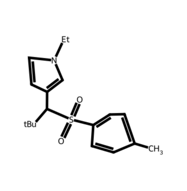 CCn1ccc(C(C(C)(C)C)S(=O)(=O)c2ccc(C)cc2)c1